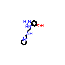 C[N+]1(CCNCCNc2cc(O)ccc2N)CCCCC1